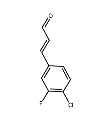 O=C/C=C/c1ccc(Cl)c(F)c1